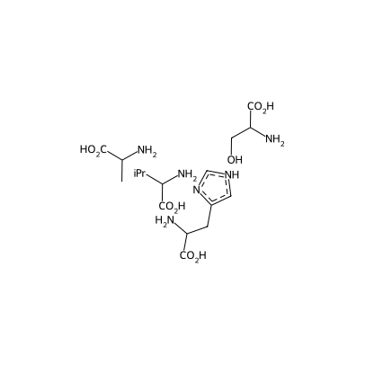 CC(C)C(N)C(=O)O.CC(N)C(=O)O.NC(CO)C(=O)O.NC(Cc1c[nH]cn1)C(=O)O